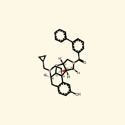 O=C(c1cccc(-c2ccccc2)c1)N1C[C@H]2O[C@@]34CC[C@@H]1[C@@H]2[C@@]31CCN(CC2CC2)[C@@H]4Cc2ccc(O)cc21